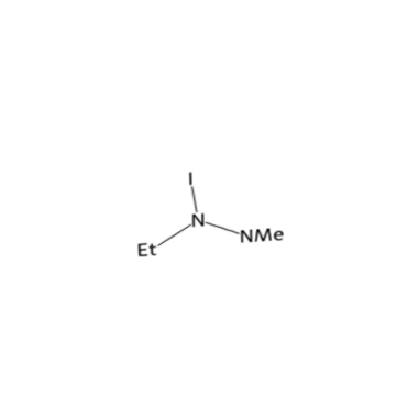 CCN(I)NC